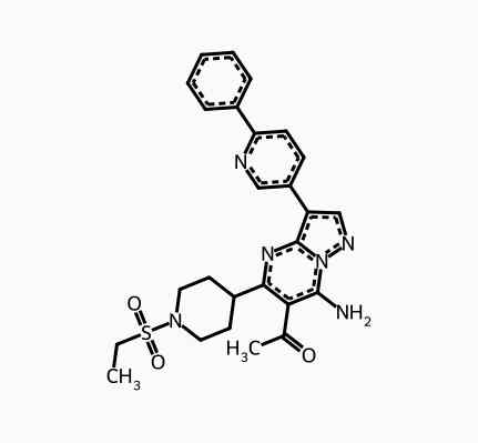 CCS(=O)(=O)N1CCC(c2nc3c(-c4ccc(-c5ccccc5)nc4)cnn3c(N)c2C(C)=O)CC1